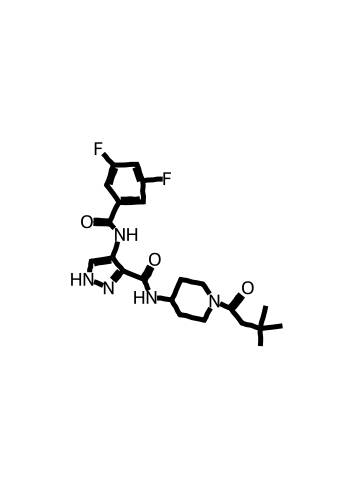 CC(C)(C)CC(=O)N1CCC(NC(=O)c2n[nH]cc2NC(=O)c2cc(F)cc(F)c2)CC1